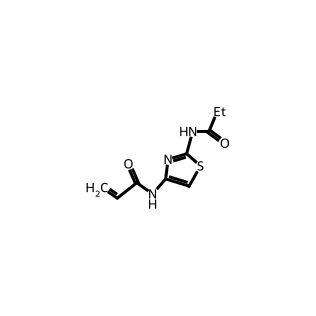 C=CC(=O)Nc1csc(NC(=O)CC)n1